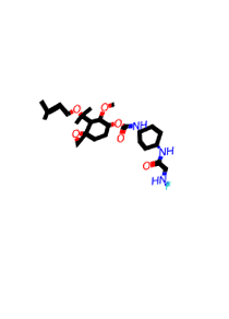 COC1C(OC(=O)N[C@H]2CC[C@H](NC(=O)CNF)CC2)CCC2(CO2)C1C(C)(C)OCC=C(C)C